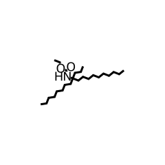 CCCCCCCCCCC(CCC)(CCCCCCCC)NC(=O)OCC